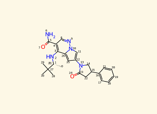 C[C@@H](Nc1c(C(N)=O)cnn2cc(N3CC(c4ccccc4)CC3=O)cc12)C(C)(C)C